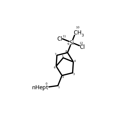 CCCCCCCCC1CC2CC1CC2[Si](C)(Cl)Cl